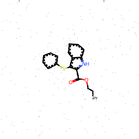 CC(C)CCOC(=O)c1[nH]c2ccccc2c1Sc1ccccc1